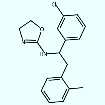 Cc1ccccc1CC(NC1=NCCO1)c1cccc(Cl)c1